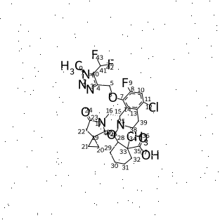 Cn1nnc(COc2c(F)cc(Cl)c3c2[C@@H](CN2CC4(CC4)CC2=O)N(C(=O)C2CCCCC2(C)C(=O)O)CC3)c1C(F)F